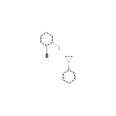 N#Cc1ccccc1CN[C@@H]1C[C@H]1c1ccccc1